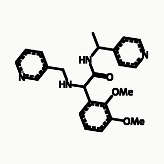 COc1cccc(C(NCc2cccnc2)C(=O)NC(C)c2ccncc2)c1OC